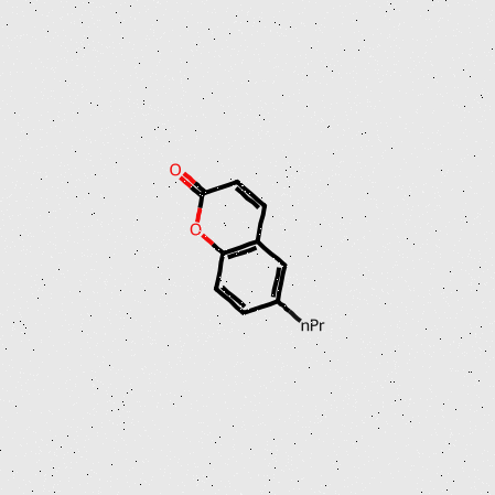 CCCc1ccc2oc(=O)ccc2c1